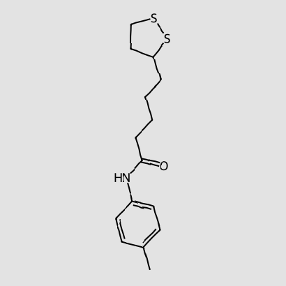 Cc1ccc(NC(=O)CCCCC2CCSS2)cc1